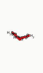 C=CC(=O)OCC(=O)OCCONC(=O)Cc1cccc(CC(=O)NOCCOC(=O)COC(=O)C=C)c1